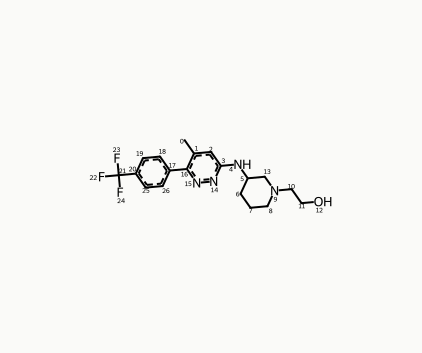 Cc1cc(NC2CCCN(CCO)C2)nnc1-c1ccc(C(F)(F)F)cc1